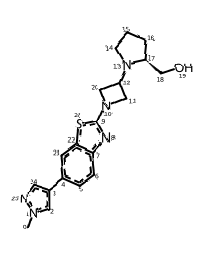 Cn1cc(-c2ccc3nc(N4CC(N5CCC[C@H]5CO)C4)sc3c2)cn1